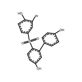 CC(C)c1cc(S(=O)(=O)c2ccc(O)cc2-c2ccc(O)cc2)ccc1O